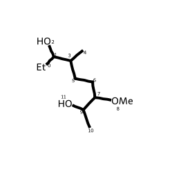 CCC(O)C(C)CCC(OC)C(C)O